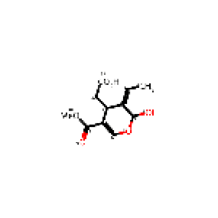 CC=C1C(O)OC=C(C(=O)OC)C1CC(=O)O